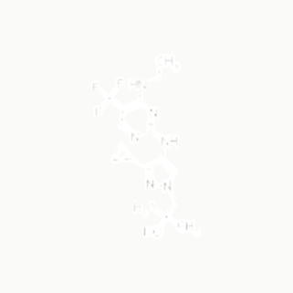 CCNc1nc(Nc2cn(CC(C)(C)O)nc2C2CC2)ncc1C(F)(F)F